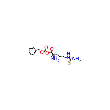 NC(=S)NCCCC[C@H](N)C(=O)OC(=O)OCc1ccccc1